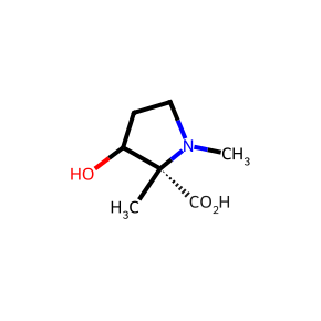 CN1CCC(O)[C@@]1(C)C(=O)O